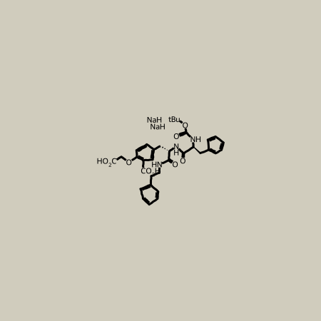 CC(C)(C)OC(=O)N[C@@H](Cc1ccccc1)C(=O)N[C@@H](Cc1ccc(OCC(=O)O)c(C(=O)O)c1)C(=O)NCCc1ccccc1.[NaH].[NaH]